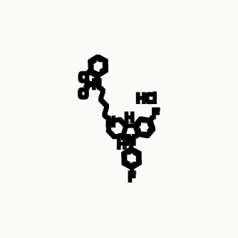 Cl.O=c1oc2ccccc2n1CCCCN1CC[C@@H]2[C@@H](C1)c1cc(F)ccc1N2c1ccc(F)cc1